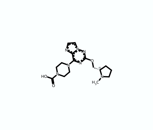 CN1CCC[C@H]1COc1nc(N2CCN(C(=O)O)CC2)c2nccn2n1